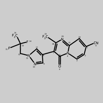 N#Cc1ccn2c(=O)c(-c3cnn(CC(F)(F)C(F)(F)F)c3)c(C(F)(F)F)nc2c1